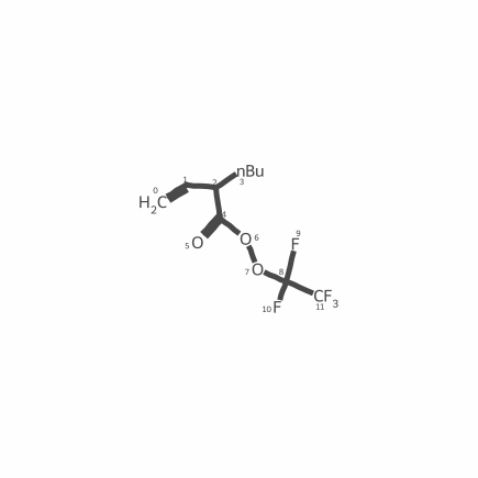 C=CC(CCCC)C(=O)OOC(F)(F)C(F)(F)F